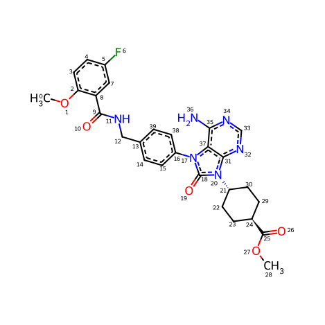 COc1ccc(F)cc1C(=O)NCc1ccc(-n2c(=O)n([C@H]3CC[C@H](C(=O)OC)CC3)c3ncnc(N)c32)cc1